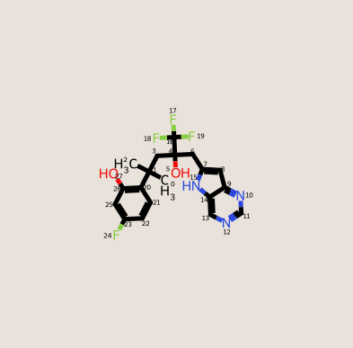 CC(C)(CC(O)(Cc1cc2ncncc2[nH]1)C(F)(F)F)c1ccc(F)cc1O